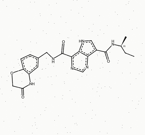 CC[C@H](C)NC(=O)c1c[nH]c2c(C(=O)NCc3ccc4c(c3)NC(=O)CO4)ncnc12